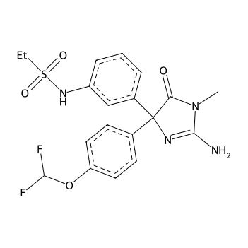 CCS(=O)(=O)Nc1cccc(C2(c3ccc(OC(F)F)cc3)N=C(N)N(C)C2=O)c1